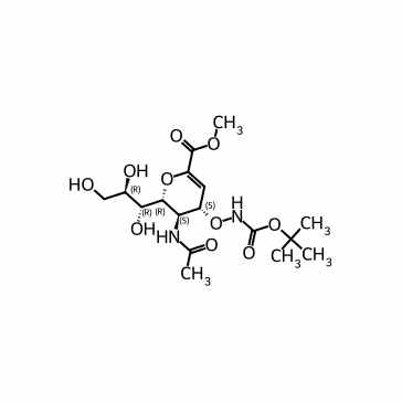 COC(=O)C1=C[C@H](ONC(=O)OC(C)(C)C)[C@@H](NC(C)=O)[C@H]([C@H](O)[C@H](O)CO)O1